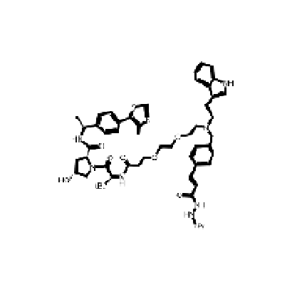 CCCNNC(=O)/C=C/c1ccc(CN(CCOCCOCCC(=O)N[C@H](C(=O)N2C[C@H](O)C[C@H]2C(=O)N[C@@H](C)c2ccc(-c3scnc3C)cc2)C(C)(C)C)CCc2c[nH]c3ccccc23)cc1